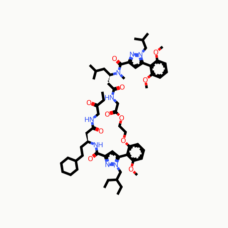 CCC(=O)CNC(=O)C[C@H](CCC1CCCCC1)NC(=O)c1cc(-c2c(OC)cccc2OCCOC(=O)CNC(=O)C[C@H](CC(C)C)N(C)C(=O)c2cc(-c3c(OC)cccc3OC)n(CC(C)C)n2)n(CC(CC)CC)n1